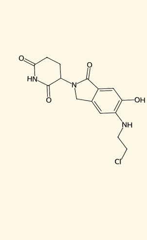 O=C1CCC(N2Cc3cc(NCCCl)c(O)cc3C2=O)C(=O)N1